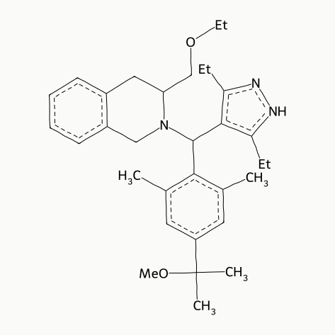 CCOCC1Cc2ccccc2CN1C(c1c(C)cc(C(C)(C)OC)cc1C)c1c(CC)n[nH]c1CC